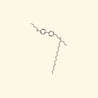 CCCCCCCCCCCCCCC(CCC)OCCc1ccc(-c2ccc(OCCCC)cc2)cc1